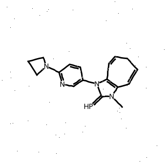 Cn1c2c(n(-c3ccc(N4CCC4)nc3)c1=P)C=CCC=C2